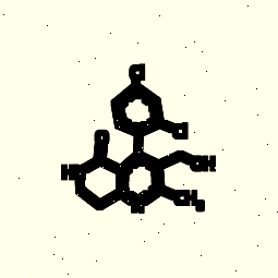 Cc1nc2c(c(-c3ccc(Cl)cc3Cl)c1CO)C(=O)NCC2